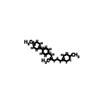 CC1CCN(CCCN(C)Cc2ccc(N3CCN(C)CC3)cc2)CC1